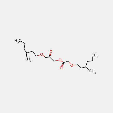 CCCC(C)CCOCC(=O)COC(=O)COCCC(C)CCC